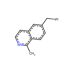 Cc1nccc2cc(CC(C)C)ccc12